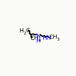 C=CCC(CC)CCCNCCCCCNC